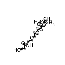 C#CCC(=O)NCCOCCOCCC(=O)OC(C)(C)C